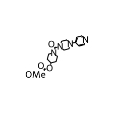 COC(=O)OC1CCN(C(=O)N2CCN(c3ccncc3)CC2)CC1